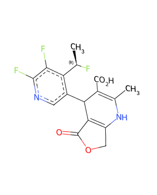 CC1=C(C(=O)O)C(c2cnc(F)c(F)c2[C@@H](C)F)C2=C(COC2=O)N1